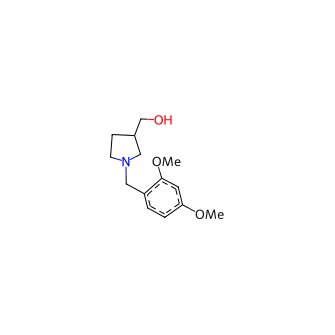 COc1ccc(CN2CCC(CO)C2)c(OC)c1